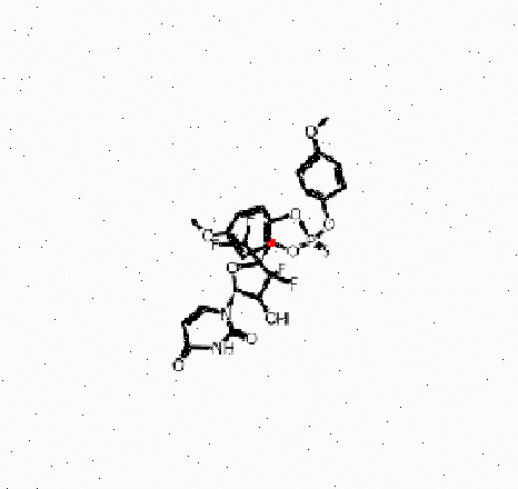 COc1ccc(OP(=S)(OC[C@]2(C(F)F)O[C@H](n3ccc(=O)[nH]c3=O)C(O)C2(F)F)Oc2ccc(OC)cc2)cc1